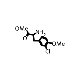 COC(=O)C(N)Cc1ccc(OC)c(Cl)c1